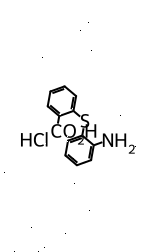 Cl.Nc1ccccc1Sc1ccccc1C(=O)O